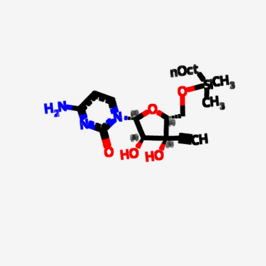 C#C[C@@]1(O)[C@@H](CO[Si](C)(C)CCCCCCCC)O[C@@H](n2ccc(N)nc2=O)[C@@H]1O